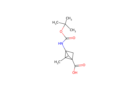 CC1C2(NC(=O)OC(C)(C)C)CC1(C(=O)O)C2